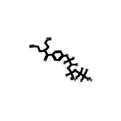 O=C(c1ccc(OC(F)(F)C(F)OC(F)(OC(F)(F)C(F)(F)C(F)(F)F)C(F)(F)F)cc1)N(CCO)CCO